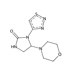 O=C1NCC(N2CCOCC2)N1c1csnn1